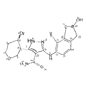 N#C[C@@H]1CCOC[C@H]1c1[nH]nc(Nc2ccc3c(c2F)OB(O)C3)c1C(N)=O